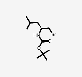 CC(C)C[C@@H](CBr)NC(=O)OC(C)(C)C